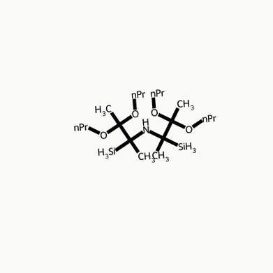 CCCOC(C)(OCCC)C(C)([SiH3])NC(C)([SiH3])C(C)(OCCC)OCCC